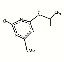 CNc1nc(Cl)nc(NC(C)C(F)(F)F)n1